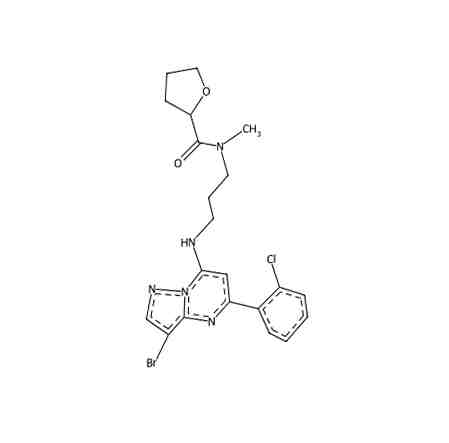 CN(CCCNc1cc(-c2ccccc2Cl)nc2c(Br)cnn12)C(=O)C1CCCO1